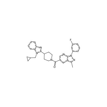 Cc1nn(-c2cccc(F)c2)c2ncc(C(=O)N3CCC(c4nc5ccccc5n4CC4CC4)CC3)cc12